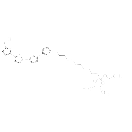 CCO[Si](CCCCCCCCCCCc1ccc(-c2ccc(-c3ccc(-c4ccc(CC)s4)s3)s2)s1)(OCC)OCC